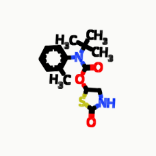 Cc1ccccc1N(C(=O)OC1CNC(=O)S1)C(C)(C)C